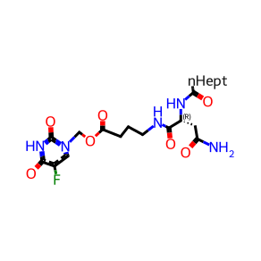 CCCCCCCC(=O)N[C@H](CC(N)=O)C(=O)NCCCC(=O)OCn1cc(F)c(=O)[nH]c1=O